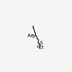 C=CCCCC(CCCCC(=S)OCC)SC(C)=O